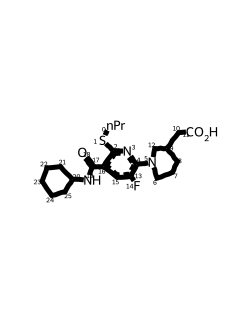 CCCSc1nc(N2CCCC(CC(=O)O)C2)c(F)cc1C(=O)NC1CCCCC1